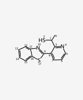 CC(S)c1ncccc1-c1nc2ccccc2s1